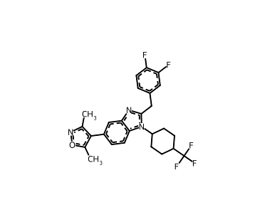 Cc1noc(C)c1-c1ccc2c(c1)nc(Cc1ccc(F)c(F)c1)n2C1CCC(C(F)(F)F)CC1